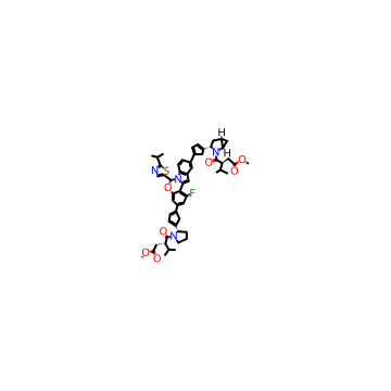 COC(=O)C[C@H](C(=O)N1CCC[C@H]1C1=CC=C(c2cc(F)c3c(c2)OC(c2cnc(C(C)C)s2)n2c-3cc3cc(C4=CC=C([C@@H]5C[C@H]6C[C@H]6N5C(=O)[C@@H](CC(=O)OC)C(C)C)C4)ccc32)C1)C(C)C